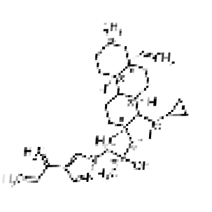 C=CC(=C)c1cnn(C[C@](C)(O)[C@H]2C[C@@H](C3CC3)C3[C@@H]4CC[C@]5(C=C)C[C@@H](C)CC[C@@H]5C4CC[C@@]32C)c1